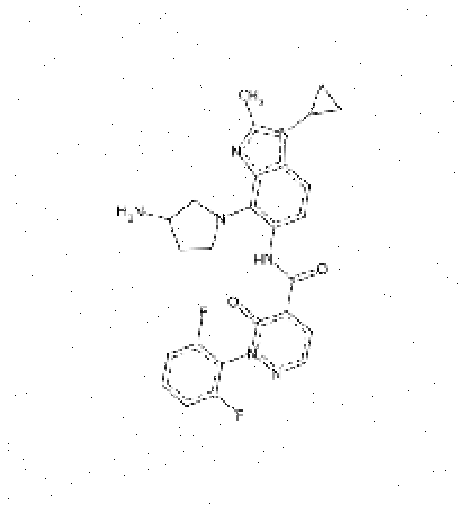 Cc1nc2c(N3CCC(N)C3)c(NC(=O)c3ccnn(-c4c(F)cccc4F)c3=O)ccc2n1C1CC1